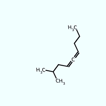 CCCC=C=CCC(C)C